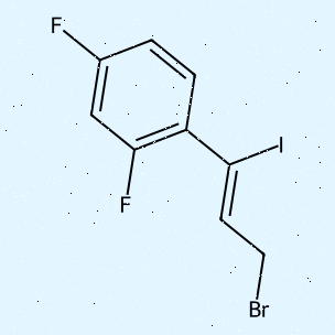 Fc1ccc(C(I)=CCBr)c(F)c1